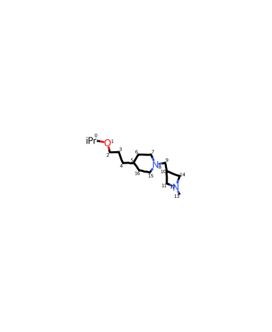 CC(C)OCCCC1CCN(CC2CN(C)C2)CC1